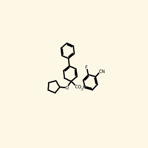 N#Cc1ccccc1F.O=C(O)C1(OC2CCCC2)C=CC(c2ccccc2)=CC1